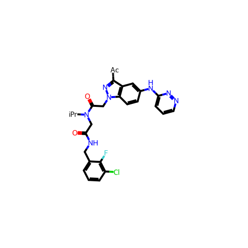 CC(=O)c1nn(CC(=O)N(CC(=O)NCc2cccc(Cl)c2F)C(C)C)c2ccc(Nc3cccnn3)cc12